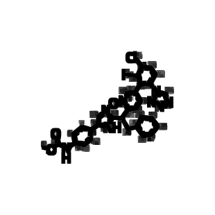 COC(=O)Nc1ccc(-c2cnc([C@H](Cc3ccccc3)c3ccc(-c4c(-n5cnnn5)ccc(Cl)c4F)c[n+]3[O-])[nH]2)cc1